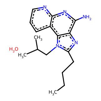 CCCCc1nc2c(N)nc3ncccc3c2n1CC(C)C.O